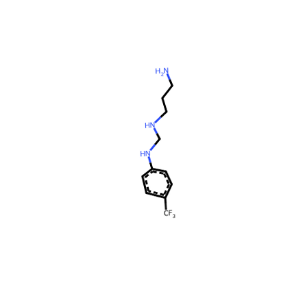 NCCCNCNc1ccc(C(F)(F)F)cc1